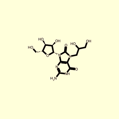 Nc1nc2c(c(=O)[nH]1)n(CC(O)CO)c(=O)n2[C@@H]1O[C@H](CO)[C@@H](O)[C@H]1O